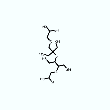 SCC(SCC(S)S)C(CS)SC(CS)(CS)CSCC(S)S